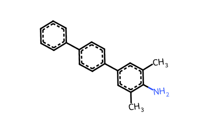 Cc1cc(-c2ccc(-c3ccccc3)cc2)cc(C)c1N